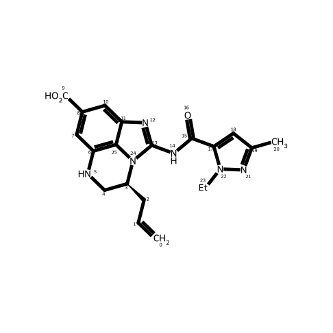 C=CC[C@H]1CNc2cc(C(=O)O)cc3nc(NC(=O)c4cc(C)nn4CC)n1c23